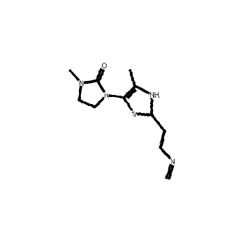 C=NCCC1NC(C)=C(N2CCN(C)C2=O)S1